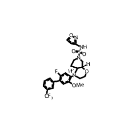 COc1cc(-c2cccc(C(F)(F)F)c2)c(F)cc1N1CCO[C@H]2CN(S(=O)(=O)Nc3ccon3)CC[C@@H]21